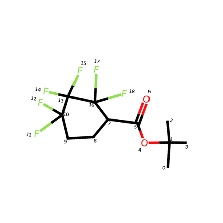 CC(C)(C)OC(=O)[C]1CCC(F)(F)C(F)(F)C1(F)F